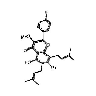 COc1c(-c2ccc(F)cc2)oc2c(CC=C(C)C)c(O)c(CC=C(C)C)c(O)c2c1=O